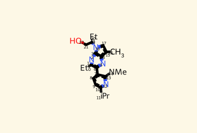 CCc1nc2c(nc1-c1ccc(C(C)C)nc1NC)c(C)cn2[C@@H](CC)CO